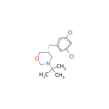 CC(C)(C)N1COC[C@H](Cc2cc(Cl)cc(Cl)c2)C1